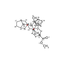 COC(=O)N1CCC2C(C1)N=C(C)N2C1CC2CCC(C1)N2CC[C@H](C)c1ccsc1